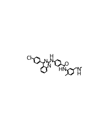 CNCc1ccc(C)c(NC(=O)c2ccc(Nc3nc(-c4ccc(Cl)cc4)c4ccccc4n3)cc2)c1